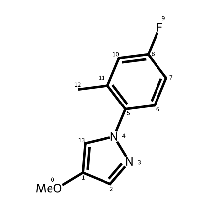 COc1cnn(-c2ccc(F)cc2C)c1